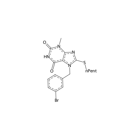 CCCCCSc1nc2c(c(=O)[nH]c(=O)n2C)n1Cc1cccc(Br)c1